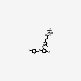 Cc1cc(CCC(=O)NS(=O)(=O)C(F)(F)F)nn1Cc1cc(Cl)ccc1OCc1ccc(Cl)cc1